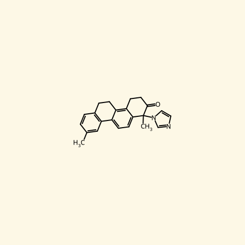 Cc1ccc2c(c1)-c1ccc3c(c1CC2)CCC(=O)C3(C)n1ccnc1